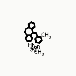 Cc1ccc(NS(C)(=O)=O)cc1C=C1c2ccccc2CCc2ccccc21